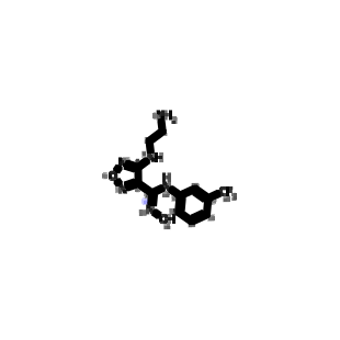 NCCNc1nonc1/C(=N/O)Nc1cccc(C(F)(F)F)c1